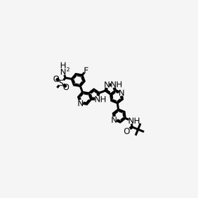 CC(C)(C)C(=O)Nc1cncc(-c2cnc3[nH]nc(-c4cc5c(-c6cc(F)cc(C(N)S(C)(=O)=O)c6)cncc5[nH]4)c3c2)c1